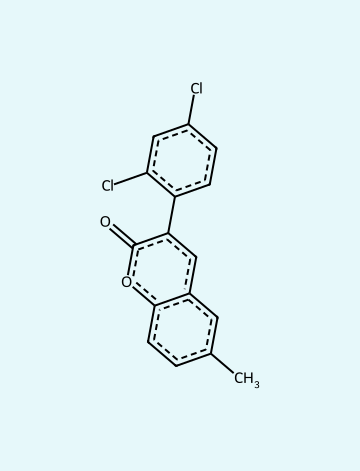 Cc1ccc2oc(=O)c(-c3ccc(Cl)cc3Cl)cc2c1